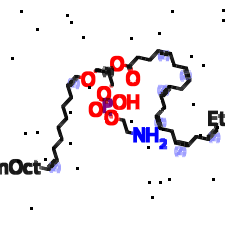 CC/C=C\C/C=C\C/C=C\C/C=C\C/C=C\C/C=C\CCC(=O)O[C@H](CO/C=C\CCCCCC/C=C\CCCCCCCC)COP(=O)(O)OCCN